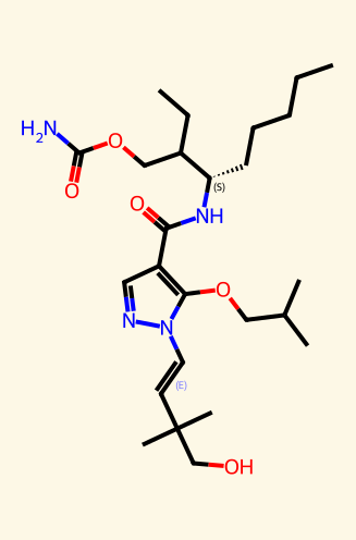 CCCCC[C@H](NC(=O)c1cnn(/C=C/C(C)(C)CO)c1OCC(C)C)C(CC)COC(N)=O